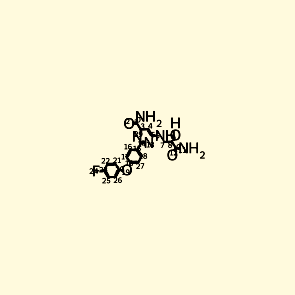 NC(=O)c1cc(NCC(O)C(N)=O)nc(-c2ccc(Oc3ccc(F)cc3)cc2)n1